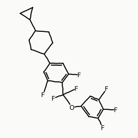 Fc1cc(OC(F)(F)c2c(F)cc(C3CCC(C4CC4)CC3)cc2F)cc(F)c1F